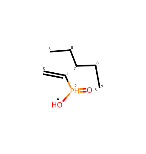 C=C[PH](=O)O.CCCCC